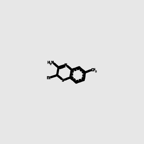 CCC1Sc2ccc(C(F)(F)F)cc2N=C1N